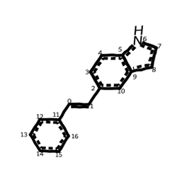 C(=C\c1ccc2[nH]ccc2c1)/c1ccccc1